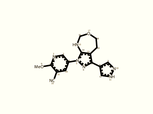 COc1ncc(-n2nc(-c3cn[nH]c3)c3c2NCOCC3)cc1C#N